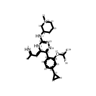 CC(=N)/C=C1\NC(NC2CCCN(C)C2)=NN=C1c1ccc(C2CC2)cc1OC(F)F